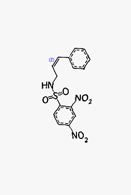 O=[N+]([O-])c1ccc(S(=O)(=O)NC/C=C\c2ccccc2)c([N+](=O)[O-])c1